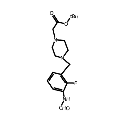 CC(C)(C)OC(=O)CN1CCN(Cc2cccc(NC=O)c2F)CC1